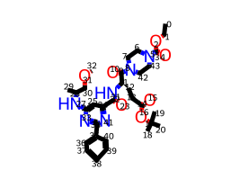 CCOC(=O)N1CCN(C(=O)[C@H](CCC(=O)OC(C)(C)C)NC(=O)c2cc(NC(C)COC)nc(-c3ccccc3)n2)CC1